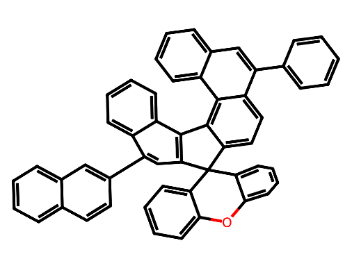 c1ccc(-c2cc3ccccc3c3c4c(ccc23)C2(c3ccccc3Oc3ccccc32)c2cc(-c3ccc5ccccc5c3)c3ccccc3c2-4)cc1